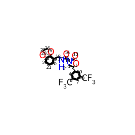 C[C@H]1[C@@H](c2cc(C(F)(F)F)cc(C(F)(F)F)c2)OC(=O)N1C(=O)NCc1cccc2c1OCCO2